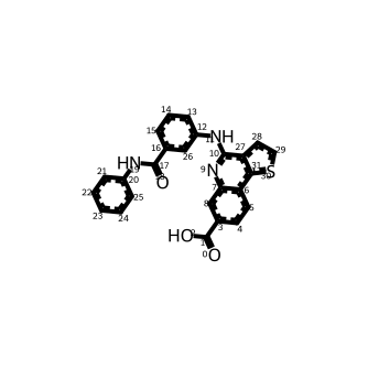 O=C(O)c1ccc2c(c1)nc(Nc1cccc(C(=O)Nc3ccccc3)c1)c1ccsc12